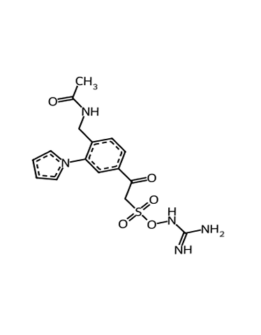 CC(=O)NCc1ccc(C(=O)CS(=O)(=O)ONC(=N)N)cc1-n1cccc1